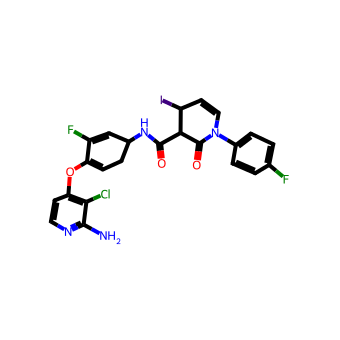 Nc1nccc(OC2=CCC(NC(=O)C3C(=O)N(c4ccc(F)cc4)C=CC3I)C=C2F)c1Cl